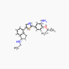 CCNC1CCc2c(-c3cnc(-c4ccc(OC(C)C)c(N)c4)s3)cccc21